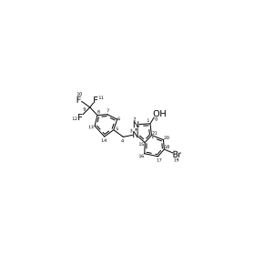 Oc1nn(Cc2ccc(C(F)(F)F)cc2)c2ccc(Br)cc12